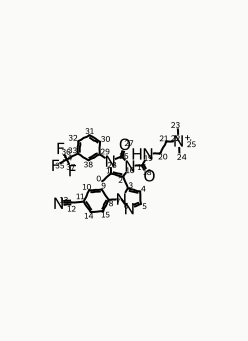 Cc1c(-c2ccnn2-c2ccc(C#N)cc2)n(C(=O)NCC[N+](C)(C)C)c(=O)n1-c1cccc(C(F)(F)F)c1